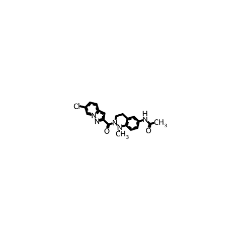 CC(=O)Nc1ccc2c(c1)CCN(C(=O)c1cc3ccc(Cl)cn3n1)N2C